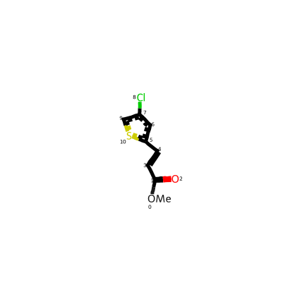 COC(=O)C=Cc1cc(Cl)cs1